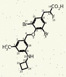 Cc1cc(COc2c(Br)cc(CC(F)C(=O)O)cc2Br)cc(NC2CCC2)c1